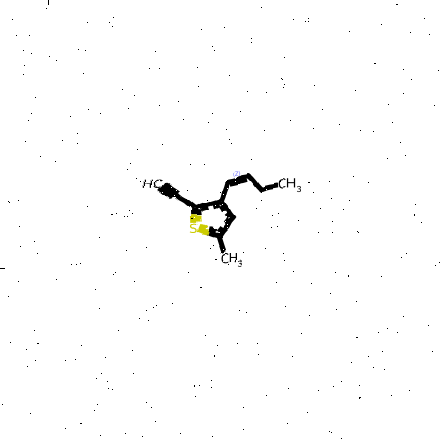 C#Cc1sc(C)cc1/C=C\CC